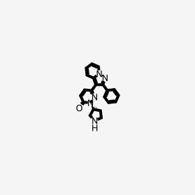 O=c1ccc(-c2c(-c3ccccc3)nn3ccccc23)nn1[C@H]1CCNC1